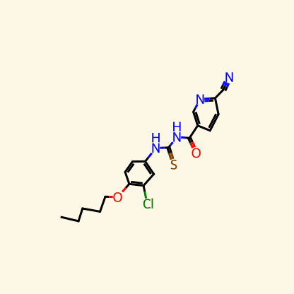 CCCCCOc1ccc(NC(=S)NC(=O)c2ccc(C#N)nc2)cc1Cl